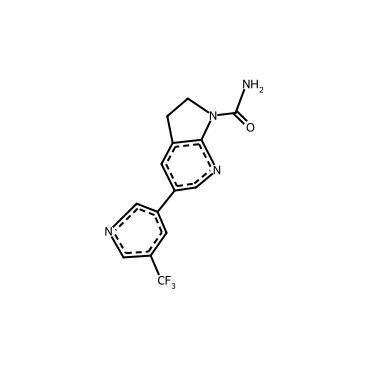 NC(=O)N1CCc2cc(-c3cncc(C(F)(F)F)c3)cnc21